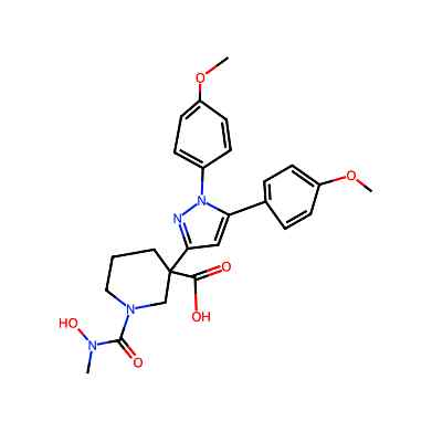 COc1ccc(-c2cc(C3(C(=O)O)CCCN(C(=O)N(C)O)C3)nn2-c2ccc(OC)cc2)cc1